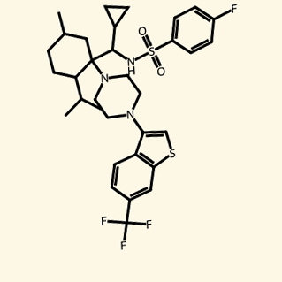 CC1CCC(C(C)C)C(C(NS(=O)(=O)c2ccc(F)cc2)C2CC2)(N2CCN(c3csc4cc(C(F)(F)F)ccc34)CC2)C1